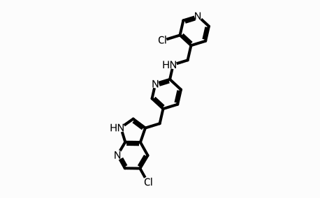 Clc1cnc2[nH]cc(Cc3ccc(NCc4ccncc4Cl)nc3)c2c1